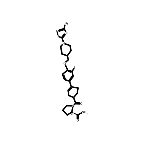 CC(C)c1noc(N2CCC(COc3ccc(C4=CCC(C(=O)N5CCC[C@@H]5C(N)=O)CC4)cc3F)CC2)n1